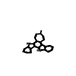 CC1C=Cc2c3c(c4[nH]c5ccccc5c4c2C=C1)-c1ccccc1B3